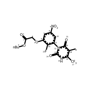 CCCCOC(=O)COc1cc([N+](=O)[O-])cc(-n2c(=O)[nH]c(C(F)(F)F)c(C)c2=O)c1F